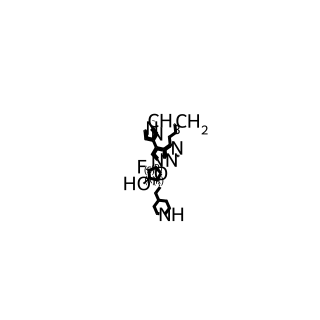 C=CCCc1ncnc2c1c(-c1ccn(C)n1)cn2[C@@H]1O[C@H](CCC2CCNCC2)[C@@H](O)[C@@H]1F